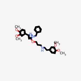 COc1ccc(CCNCCCOc2cc(-c3ccc(OC)c(OC)c3)nn2Cc2ccccc2)cc1OC